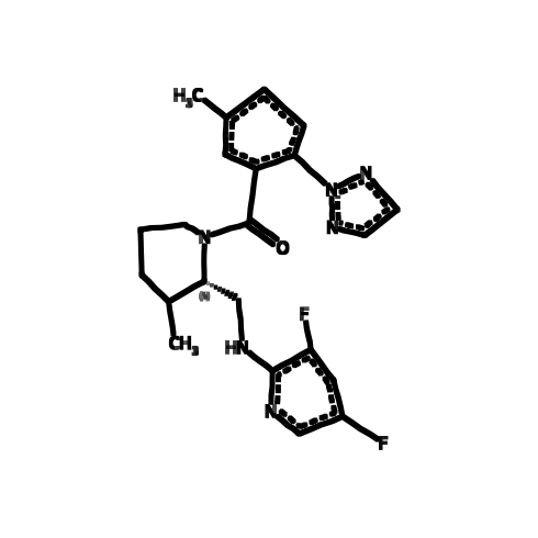 Cc1ccc(-n2nccn2)c(C(=O)N2CCCC(C)[C@H]2CNc2ncc(F)cc2F)c1